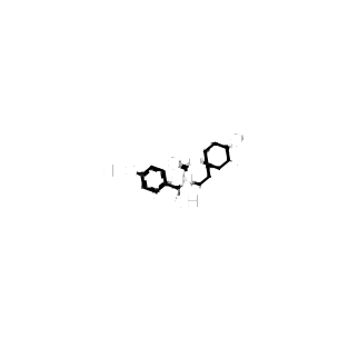 Cc1ccc([C@H](C)N2CCC3(CCC(=O)CC3)OC2=O)cc1